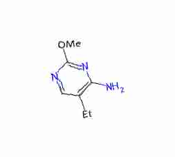 [CH2]Cc1cnc(OC)nc1N